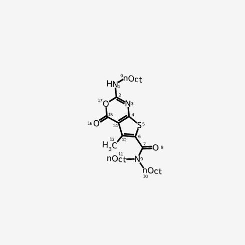 CCCCCCCCNc1nc2sc(C(=O)N(CCCCCCCC)CCCCCCCC)c(C)c2c(=O)o1